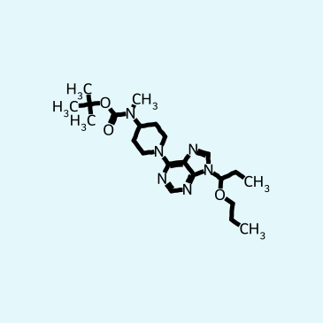 CCCOC(CC)n1cnc2c(N3CCC(N(C)C(=O)OC(C)(C)C)CC3)ncnc21